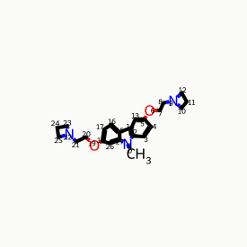 Cn1c2ccc(OCCN3CCC3)cc2c2ccc(OCCN3CCC3)cc21